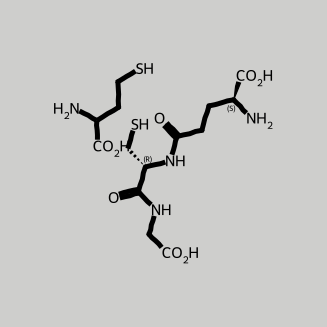 NC(CCS)C(=O)O.N[C@@H](CCC(=O)N[C@@H](CS)C(=O)NCC(=O)O)C(=O)O